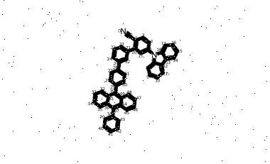 N#Cc1ccc(-n2c3ccccc3c3ccccc32)cc1-c1cccc(-c2ccc(-c3c4ccccc4c(-c4ccccc4)c4ccccc34)cc2)c1